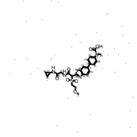 COCCS(=O)(=O)C(C(=O)NCC(=O)NC1CC1)c1nc2ccc(-c3ccc(N(C)C(=O)O)cc3)cc2s1